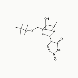 CC1C2OCC(CO[Si](C)(C)C(C)(C)C)(OC2n2ccc(=O)[nH]c2=O)C1O